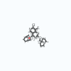 O=C(O)N1C2CCC1CN(c1nc(OCC34CCCN3CCC4)nc3c(F)c(Cl)ncc13)C2